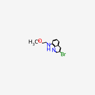 COCCNc1cccc2cc(Br)cnc12